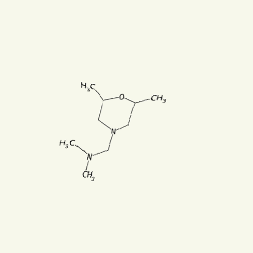 CC1CN(CN(C)C)CC(C)O1